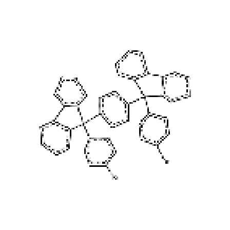 Brc1ccc(C2(c3ccc(C4(c5ccc(Br)cc5)c5ccccc5-c5ccccc54)cc3)c3ccccc3-c3ccccc32)cc1